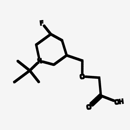 CC(C)(C)N1CC(F)CC(COCC(=O)O)C1